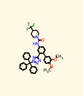 COc1ccc(-c2ccc(NC(=O)N3CCC(C(F)(F)F)CC3)cc2-c2nnn(C(c3ccccc3)(c3ccccc3)c3ccccc3)n2)cc1OC